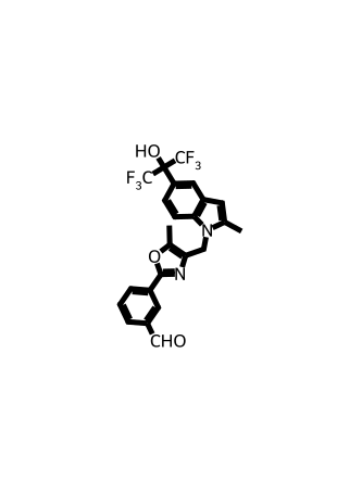 Cc1oc(-c2cccc(C=O)c2)nc1Cn1c(C)cc2cc(C(O)(C(F)(F)F)C(F)(F)F)ccc21